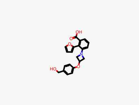 O=C(O)c1cccc(N2CC(Oc3ccc(CO)cc3)C2)c1-c1ccco1